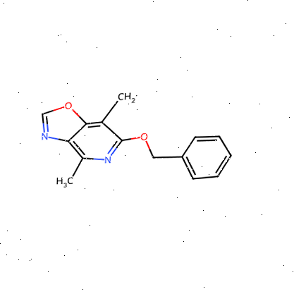 [CH2]c1c(OCc2ccccc2)nc(C)c2ncoc12